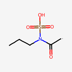 [CH2]C(=O)N(CCC)S(=O)(=O)O